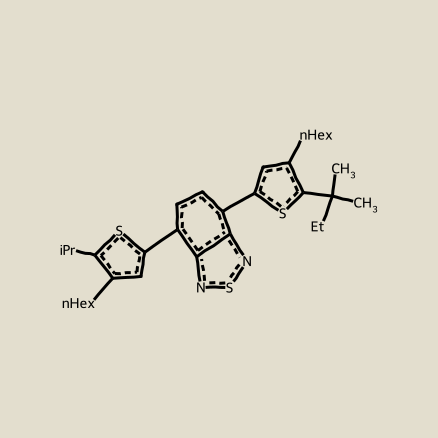 CCCCCCc1cc(-c2ccc(-c3cc(CCCCCC)c(C(C)(C)CC)s3)c3nsnc23)sc1C(C)C